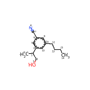 [CH2]C(CO)c1cc(C#N)cc(CCCC)c1